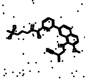 C=C(C#N)CNc1c(OC)ccc2ccc(-c3cccc(C(=O)NCCCS(C)(=O)=O)n3)cc12